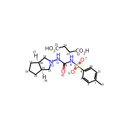 Cc1ccc(S(=O)(=O)NC(=O)NN2C[C@H]3CCC[C@H]3C2)cc1.O=C(O)CCC(=O)O